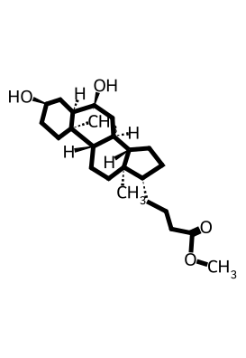 COC(=O)CCC[C@H]1CC[C@H]2[C@@H]3C[C@H](O)[C@@H]4C[C@H](O)CC[C@]4(C)[C@H]3CC[C@]12C